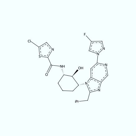 CC(C)Cc1nc2cnc(-n3cc(F)cn3)cc2n1[C@@H]1CCC[C@H](NC(=O)c2ncc(Cl)s2)[C@H]1O